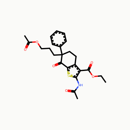 CCOC(=O)c1c(NC(C)=O)sc2c1CCC(CCCOC(C)=O)(c1ccccc1)C2=O